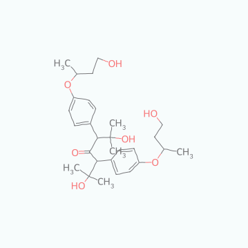 CC(CCO)Oc1ccc(C(C(=O)C(c2ccc(OC(C)CCO)cc2)C(C)(C)O)C(C)(C)O)cc1